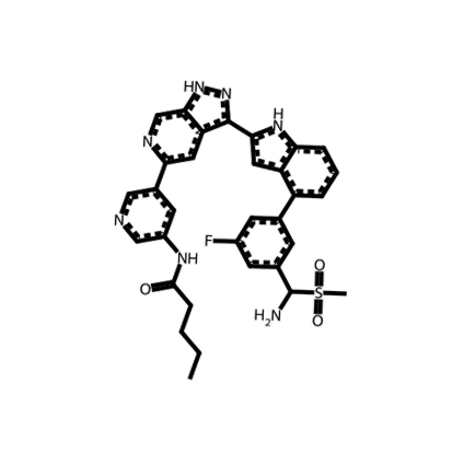 CCCCC(=O)Nc1cncc(-c2cc3c(-c4cc5c(-c6cc(F)cc(C(N)S(C)(=O)=O)c6)cccc5[nH]4)n[nH]c3cn2)c1